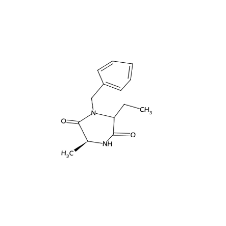 CCC1C(=O)N[C@@H](C)C(=O)N1Cc1ccccc1